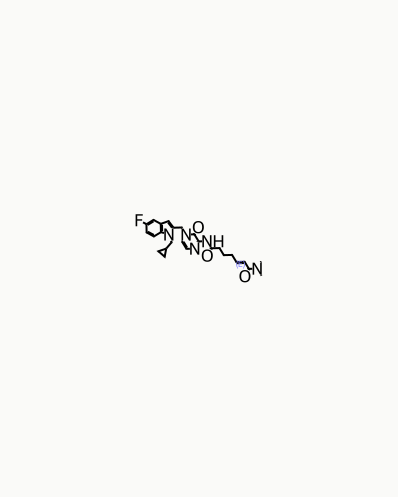 CN(C)C(=O)/C=C/CCCC(=O)Nc1nccn(Cc2cc3cc(F)ccc3n2CC2CC2)c1=O